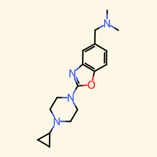 CN(C)Cc1ccc2oc(N3CCN(C4CC4)CC3)nc2c1